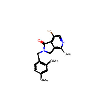 COc1ccc(CN2Cc3c(SC)ncc(Br)c3C2=O)c(OC)c1